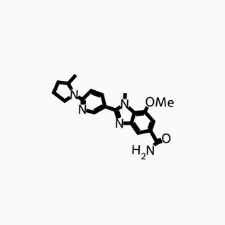 COc1cc(C(N)=O)cc2nc(-c3ccc(N4CCCC4C)nc3)n(C)c12